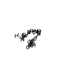 Cn1c2ccncc2c2ccc(-c3ccc(OC4CC(O)(CN5CCC6(CC5)CN(CC#CCOc5ccc7c(c5)C(=O)N(C5CCC(=O)NC5=O)C7=O)CCO6)C4)nc3)cc21